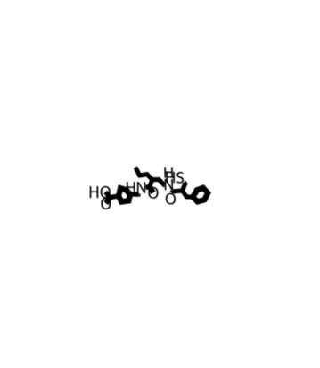 CCCC(CCNC(=O)C(CS)Cc1ccccc1)C(=O)NCc1ccc(C(=O)O)cc1